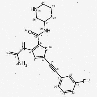 C=C(N)Nc1cc(C#Cc2cccc(F)c2)sc1C(=O)NC1CCCNC1